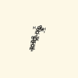 CC(C)(Oc1ccc(CCNC(=O)c2cnc(-c3ccc(C(F)(F)F)cc3)nc2C2CC2)cc1)C(=O)O